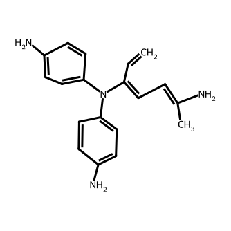 C=C/C(=C\C=C(/C)N)N(c1ccc(N)cc1)c1ccc(N)cc1